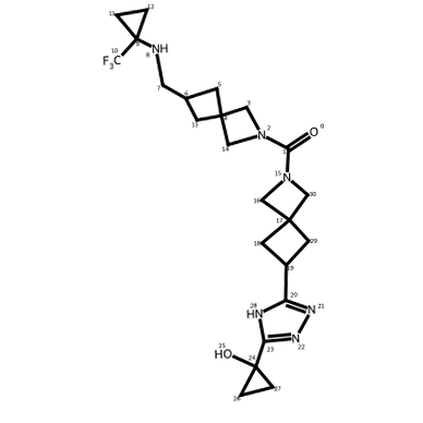 O=C(N1CC2(CC(CNC3(C(F)(F)F)CC3)C2)C1)N1CC2(CC(c3nnc(C4(O)CC4)[nH]3)C2)C1